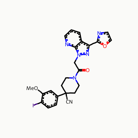 COc1cc(C2(C#N)CCN(C(=O)Cn3nc(-c4ncco4)c4cccnc43)CC2)ccc1I